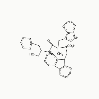 CC(Cc1c[nH]c2ccccc12)(C(=O)NC(CO)Cc1ccccc1)N(CC1c2ccccc2-c2ccccc21)C(=O)O